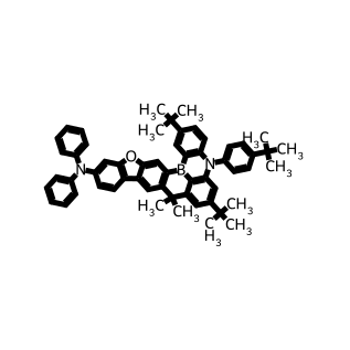 CC(C)(C)c1ccc(N2c3ccc(C(C)(C)C)cc3B3c4cc5oc6cc(N(c7ccccc7)c7ccccc7)ccc6c5cc4C(C)(C)c4cc(C(C)(C)C)cc2c43)cc1